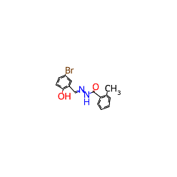 Cc1ccccc1C(=O)N/N=C/c1cc(Br)ccc1O